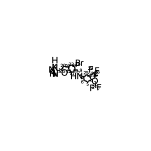 FC(F)Oc1ccc(NCc2cc3oc(-c4nnn[nH]4)cc3cc2Br)cc1C(F)(F)F